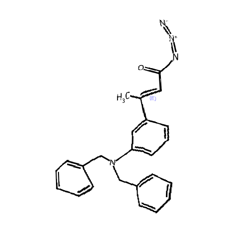 C/C(=C\C(=O)N=[N+]=[N-])c1cccc(N(Cc2ccccc2)Cc2ccccc2)c1